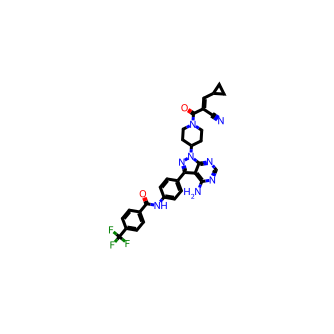 N#CC(=CC1CC1)C(=O)N1CCC(n2nc(-c3ccc(NC(=O)c4ccc(C(F)(F)F)cc4)cc3)c3c(N)ncnc32)CC1